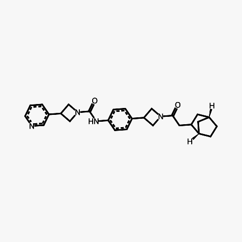 O=C(CC1C[C@@H]2CC[C@H]1C2)N1CC(c2ccc(NC(=O)N3CC(c4cccnc4)C3)cc2)C1